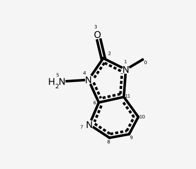 Cn1c(=O)n(N)c2ncccc21